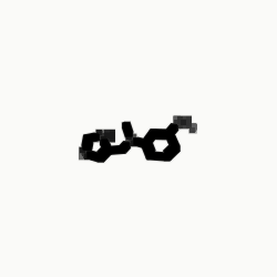 Bc1cccc(N(C)Cc2cnc[nH]2)c1